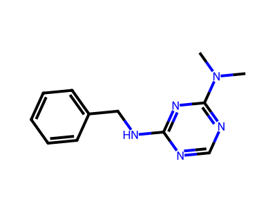 CN(C)c1ncnc(NCc2ccccc2)n1